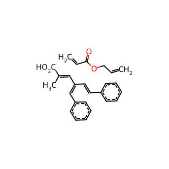 C=CCOC(=O)C=C.CC(=CC(C=Cc1ccccc1)=Cc1ccccc1)C(=O)O